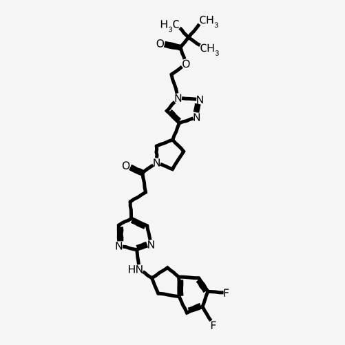 CC(C)(C)C(=O)OCn1cc(C2CCN(C(=O)CCc3cnc(NC4Cc5cc(F)c(F)cc5C4)nc3)C2)nn1